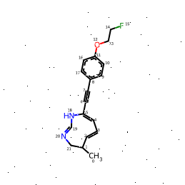 CC1/C=C/C=C(/C#Cc2ccc(OCCF)cc2)N/C=N/C1